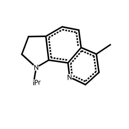 Cc1ccnc2c3c(ccc12)CCN3C(C)C